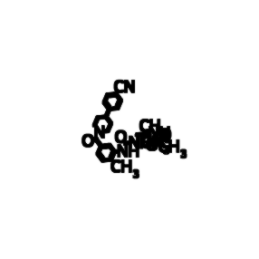 Cc1ccc(C(=O)N2CCC(c3ccc(C#N)cc3)CC2)cc1NC(=O)NCC(C)(C)NS(C)(=O)=O